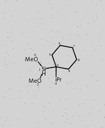 CO[SiH](OC)C1(C(C)C)CCCCC1